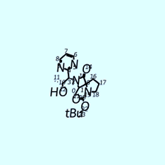 CC1N([C@H](c2ncccn2)[C@@H](C)O)C(=O)C12CCCN2C(=O)OC(C)(C)C